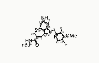 CCCCNC(=O)C1=Cc2nn(Cc3ncc(C)c(OC)c3C)c3nc(N)nc(c23)SC1